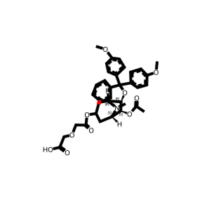 COc1ccc(C(O[C@H]2[C@@H](OC(C)=O)[C@@H]3CC(OC(=O)COCC(=O)O)C[C@H]2N3C)(c2ccccc2)c2ccc(OC)cc2)cc1